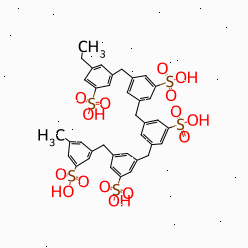 CCc1cc(Cc2cc(Cc3cc(Cc4cc(Cc5cc(C)cc(S(=O)(=O)O)c5)cc(S(=O)(=O)O)c4)cc(S(=O)(=O)O)c3)cc(S(=O)(=O)O)c2)cc(S(=O)(=O)O)c1